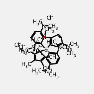 CC1=C(C)[C]([Ti+3])([Si](c2cc(N(C)C)ccc2N(C)C)(c2cc(N(C)C)ccc2N(C)C)c2cc(N(C)C)ccc2N(C)C)C(C)=C1C.[Cl-].[Cl-].[Cl-]